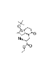 CCOC(=O)C(C#N)CC1=C2CC(C)[C@@H](OC(C)(C)C)C2CCC1=O